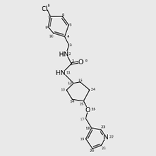 O=C(NCc1ccc(Cl)cc1)NC1CCC(OCc2cccnc2)CC1